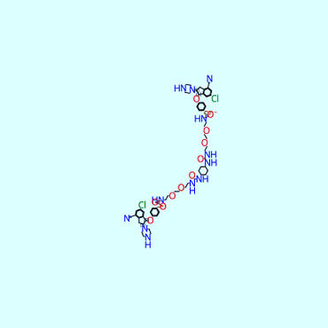 N#Cc1cc(Cl)cc2c1C[C@H](N1CCNCC1)[C@H]2Oc1ccc([S+]([O-])NCCOCCOCCNC(=O)NC2CCC(NC(=O)NCCOCCOCCNS(=O)(=O)c3ccc(O[C@H]4c5cc(Cl)cc(C#N)c5C[C@@H]4N4CCNCC4)cc3)CC2)cc1